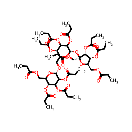 CCC(=O)OCC1O[C@H](OCC2O[C@@H](O[C@]3(COC(=O)CC)O[C@H](COC(=O)CC)[C@@H](OC(=O)CC)[C@H]3OC(=O)CC)C(OC(=O)CC)C(OC(=O)CC)[C@@H]2OC(=O)CC)C(OC(=O)CC)C(OC(=O)CC)[C@H]1OC(=O)CC